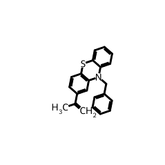 C=C(C)c1ccc2c(c1)N(Cc1ccccc1)c1ccccc1S2